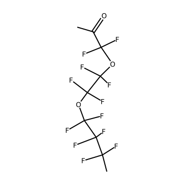 CC(=O)C(F)(F)OC(F)(F)C(F)(F)OC(F)(F)C(F)(F)C(C)(F)F